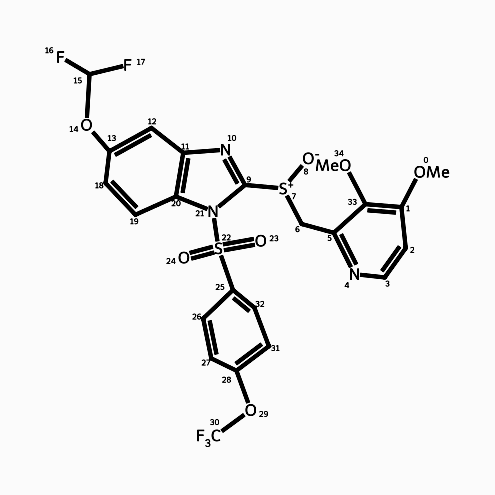 COc1ccnc(C[S+]([O-])c2nc3cc(OC(F)F)ccc3n2S(=O)(=O)c2ccc(OC(F)(F)F)cc2)c1OC